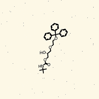 CC(C)(C)NC(=O)OC[C@H](O)COCCOC(c1ccccc1)(c1ccccc1)c1ccccc1